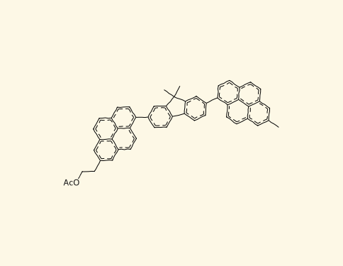 CC(=O)OCCc1cc2ccc3ccc(-c4ccc5c(c4)C(C)(C)c4cc(-c6ccc7ccc8cc(C)cc9ccc6c7c89)ccc4-5)c4ccc(c1)c2c34